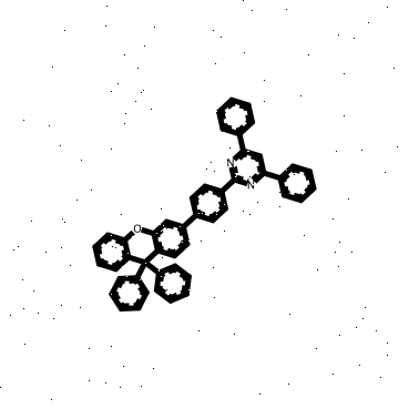 c1ccc(-c2cc(-c3ccccc3)nc(-c3ccc(-c4ccc5c(c4)Oc4ccccc4C5(c4ccccc4)c4ccccc4)cc3)n2)cc1